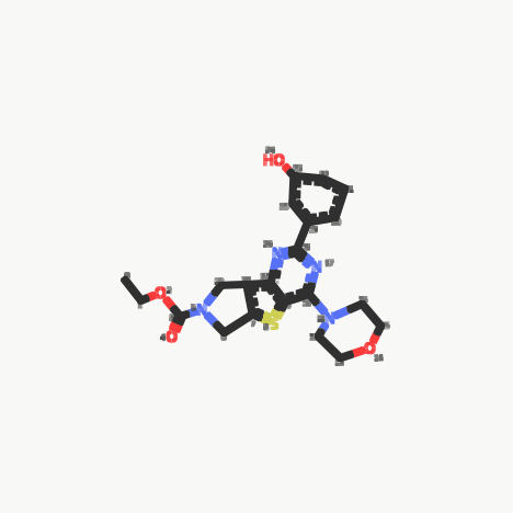 CCOC(=O)N1Cc2sc3c(N4CCOCC4)nc(-c4cccc(O)c4)nc3c2C1